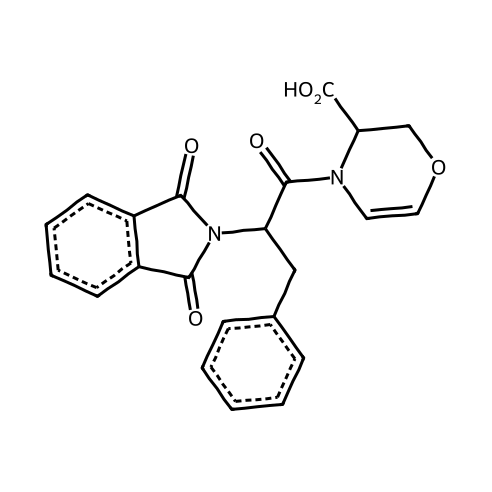 O=C(O)C1COC=CN1C(=O)C(Cc1ccccc1)N1C(=O)c2ccccc2C1=O